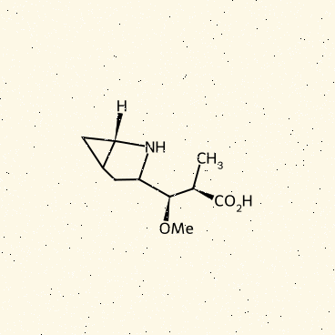 CO[C@@H](C1CC2C[C@@H]2N1)[C@@H](C)C(=O)O